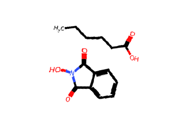 CCCCCC(=O)O.O=C1c2ccccc2C(=O)N1O